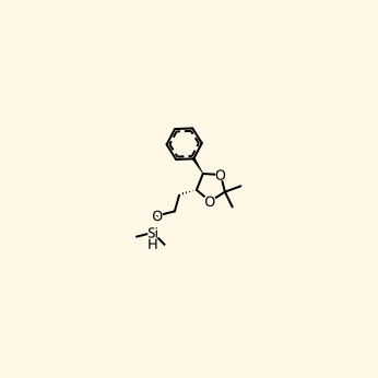 C[SiH](C)OCC[C@H]1OC(C)(C)O[C@@H]1c1ccccc1